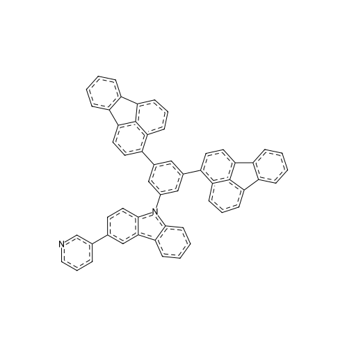 c1cncc(-c2ccc3c(c2)c2ccccc2n3-c2cc(-c3ccc4c5c(cccc35)-c3ccccc3-4)cc(-c3ccc4c5c(cccc35)-c3ccccc3-4)c2)c1